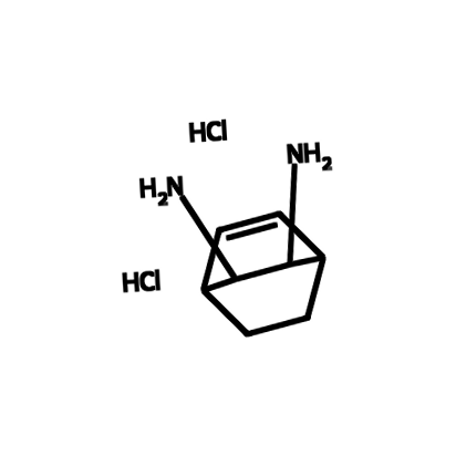 Cl.Cl.NC1C2C=CC(CC2)C1N